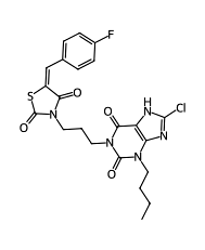 CCCCn1c(=O)n(CCCN2C(=O)SC(=Cc3ccc(F)cc3)C2=O)c(=O)c2[nH]c(Cl)nc21